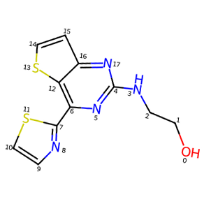 OCCNc1nc(-c2nccs2)c2sccc2n1